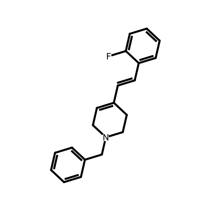 Fc1ccccc1C=CC1=CCN(Cc2ccccc2)CC1